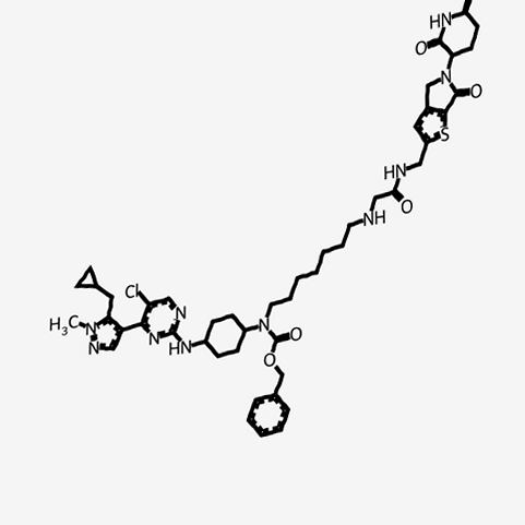 Cn1ncc(-c2nc(NC3CCC(N(CCCCCCCNCC(=O)NCc4cc5c(s4)C(=O)N(C4CCC(=O)NC4=O)C5)C(=O)OCc4ccccc4)CC3)ncc2Cl)c1CC1CC1